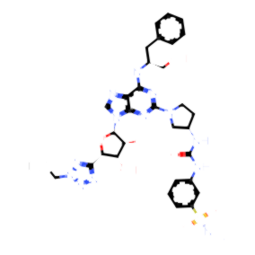 CCn1nnc([C@H]2O[C@@H](n3cnc4c(N[C@H](CO)Cc5ccccc5)nc(N5CC[C@@H](NC(=O)Nc6cccc(S(N)(=O)=O)c6)C5)nc43)[C@@H](O)[C@@H]2O)n1